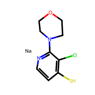 Sc1ccnc(N2CCOCC2)c1Cl.[Na]